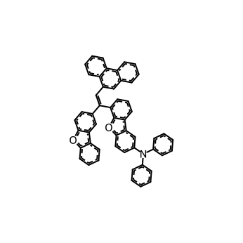 C(=C(\c1ccc2oc3ccccc3c2c1)c1cccc2c1oc1ccc(N(c3ccccc3)c3ccccc3)cc12)/c1cc2ccccc2c2ccccc12